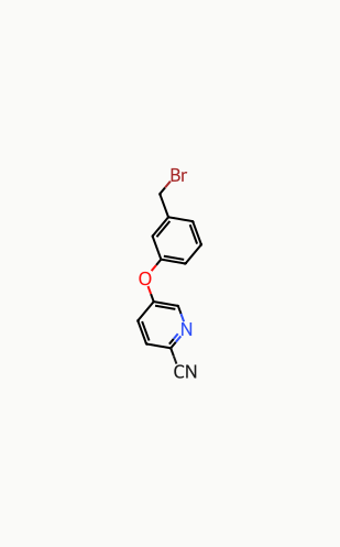 N#Cc1ccc(Oc2cccc(CBr)c2)cn1